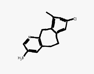 Bc1cnc2c(c1)CCc1cc(Cl)cc(C)c1C2